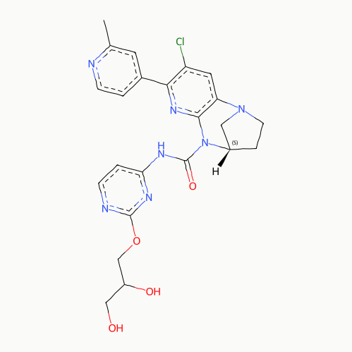 Cc1cc(-c2nc3c(cc2Cl)N2CC[C@@H](C2)N3C(=O)Nc2ccnc(OCC(O)CO)n2)ccn1